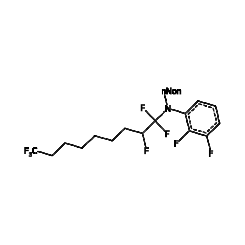 CCCCCCCCCN(c1cccc(F)c1F)C(F)(F)C(F)CCCCCCC(F)(F)F